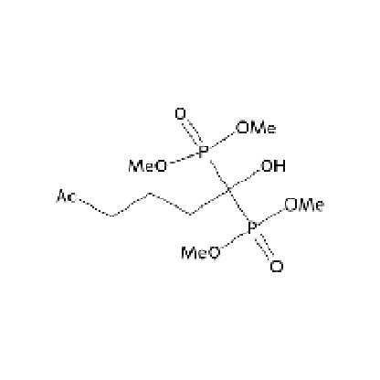 COP(=O)(OC)C(O)(CCCC(C)=O)P(=O)(OC)OC